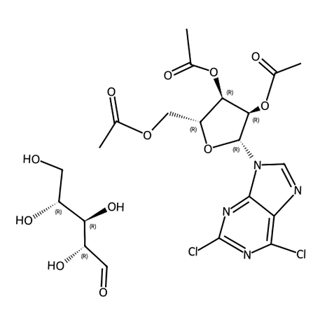 CC(=O)OC[C@H]1O[C@@H](n2cnc3c(Cl)nc(Cl)nc32)[C@H](OC(C)=O)[C@@H]1OC(C)=O.O=C[C@H](O)[C@H](O)[C@H](O)CO